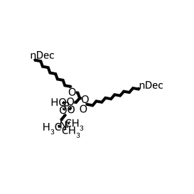 CCCCCCCCCCCCCCCCCCCCCC(=O)OC(COCCCCCCCCCCCCCCCCCCCC)COP(=O)(O)OCC[N+](C)(C)C